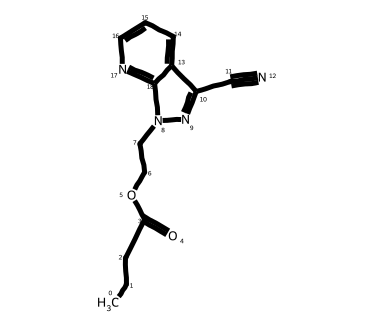 CCCC(=O)OCCn1nc(C#N)c2cccnc21